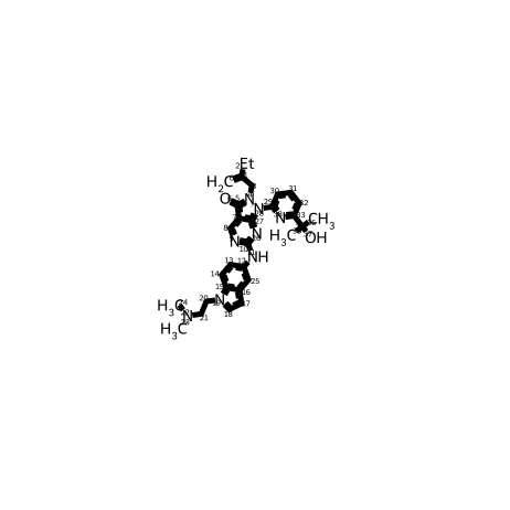 C=C(CC)Cn1c(=O)c2cnc(Nc3ccc4c(ccn4CCN(C)C)c3)nc2n1-c1cccc(C(C)(C)O)n1